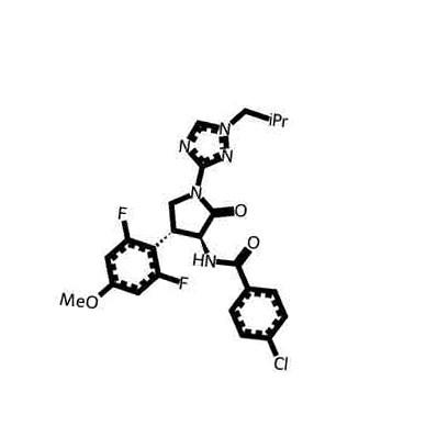 COc1cc(F)c([C@@H]2CN(c3ncn(CC(C)C)n3)C(=O)[C@H]2NC(=O)c2ccc(Cl)cc2)c(F)c1